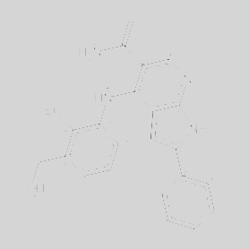 C=C(N)c1cnc2[nH]c(-c3ccccc3)cc2c1Nc1cccc(CO)c1CC